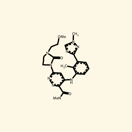 CNC(=O)c1nnc(N2CCN(CCOC)C2=O)cc1Nc1cccc(-c2ncn(C)n2)c1C